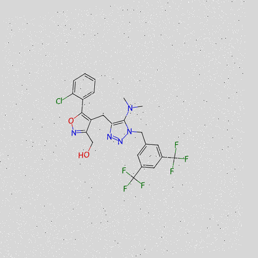 CN(C)c1c([CH]c2c(CO)noc2-c2ccccc2Cl)nnn1Cc1cc(C(F)(F)F)cc(C(F)(F)F)c1